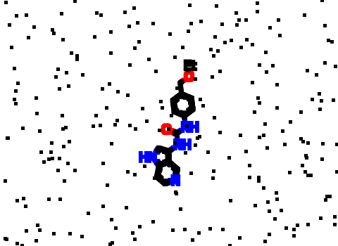 CCOCc1ccc(NC(=O)Nc2c[nH]c3ccncc23)cc1